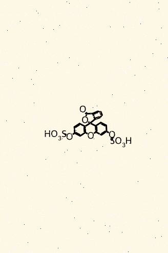 O=C1OC2(c3ccc(OS(=O)(=O)O)cc3Oc3cc(OS(=O)(=O)O)ccc32)c2ccccc21